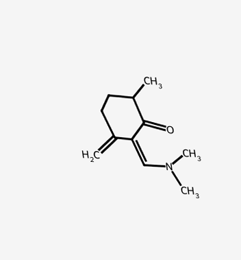 C=C1CCC(C)C(=O)/C1=C\N(C)C